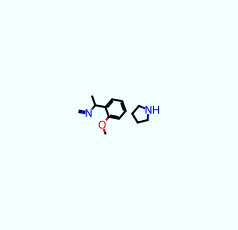 C1CCNC1.C=NC(C)c1ccccc1OC